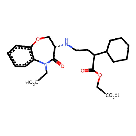 CCOC(=O)COC(=O)C(CCN[C@H]1COc2ccccc2N(CC(=O)O)C1=O)C1CCCCC1